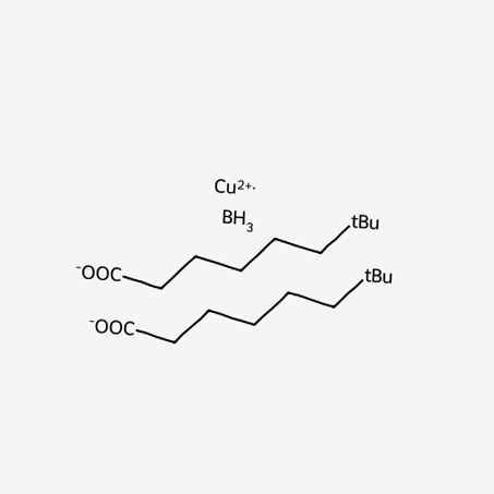 B.CC(C)(C)CCCCCC(=O)[O-].CC(C)(C)CCCCCC(=O)[O-].[Cu+2]